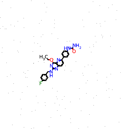 CCOc1nc(NCc2ccc(F)cc2)nc2ccc(-c3ccc(NC(N)=O)cc3)nc12